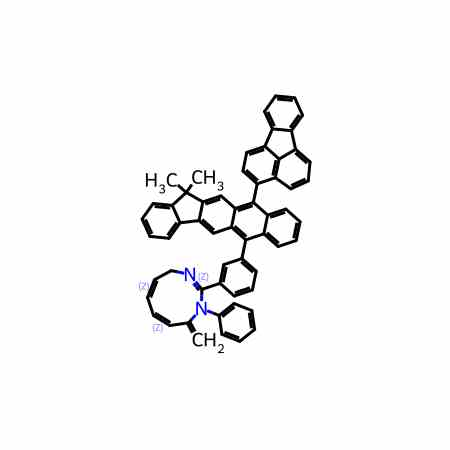 C=C1/C=C\C=C/C/N=C(/c2cccc(-c3c4ccccc4c(-c4ccc5c6c(cccc46)-c4ccccc4-5)c4cc5c(cc34)-c3ccccc3C5(C)C)c2)N1c1ccccc1